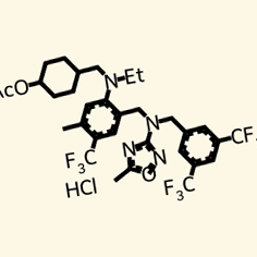 CCN(CC1CCC(OC(C)=O)CC1)c1cc(C)c(C(F)(F)F)cc1CN(Cc1cc(C(F)(F)F)cc(C(F)(F)F)c1)c1noc(C)n1.Cl